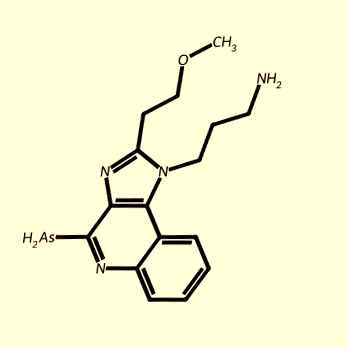 COCCc1nc2c([AsH2])nc3ccccc3c2n1CCCN